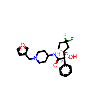 O=C(NC1CCN(Cc2ccoc2)CC1)[C@](O)(c1ccccc1)[C@@H]1CCC(F)(F)C1